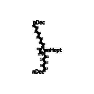 CCCCCCCCCCCCCCCCCCN1C=CN(CCCCCCCCCCCCCCC)C1CCCCCCC